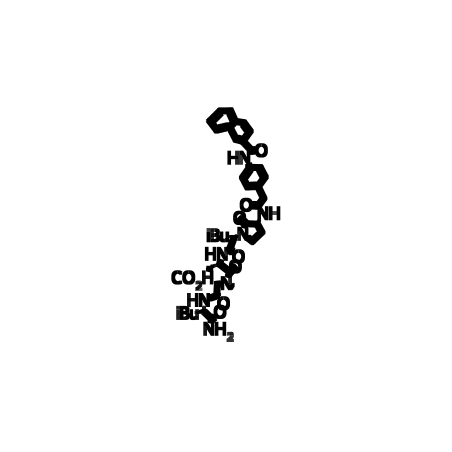 CC[C@H](C)[C@H](NC(=O)CN(C)C(=O)[C@H](CC(=O)O)NC(=O)[C@H]([C@@H](C)CC)N1CC[C@@H](NC(=O)Cc2ccc(NC(=O)c3ccc4ccccc4c3)cc2)C1=O)C(N)=O